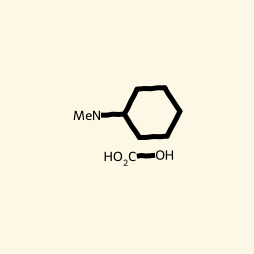 CNC1CCCCC1.O=C(O)O